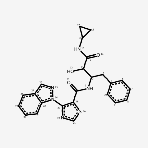 O=C(NC(Cc1ccccc1)C(O)C(=O)NC1CC1)c1scnc1-n1ncc2ccccc21